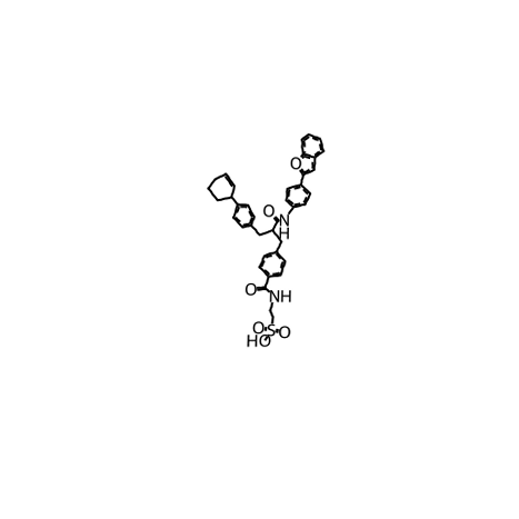 O=C(NCCS(=O)(=O)O)c1ccc(CC(Cc2ccc(C3C=CCCC3)cc2)C(=O)Nc2ccc(-c3cc4ccccc4o3)cc2)cc1